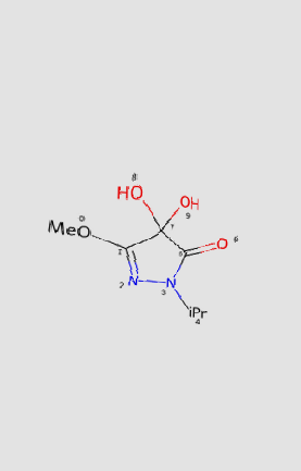 COC1=NN(C(C)C)C(=O)C1(O)O